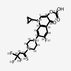 O=C(O)Oc1cn(C2CC2)c2cc(N3CCN(C(=S)CC(F)(F)F)CC3)c(F)cc2c1=O